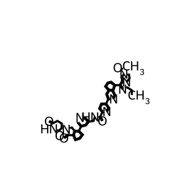 CCc1nc(-c2cccc3cc(-c4ccc(C(=O)NCc5cncc(-c6cccc7c6CN(C6CCC(=O)NC6=O)C7=O)c5)nc4)ncc23)c2n1CCN(C(C)=O)C2